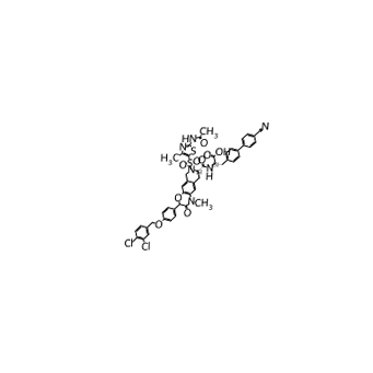 CC(=O)Nc1nc(C)c(S(=O)(=O)N2Cc3cc4c(cc3C[C@H]2C(=O)N[C@@H](Cc2ccc(-c3ccc(C#N)cc3)cc2)C(=O)O)N(C)C(=O)C(c2ccc(OCc3ccc(Cl)c(Cl)c3)cc2)O4)s1